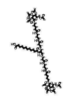 CC(=O)N[C@H]1[C@H](OCCCCC(=O)NCCCNC(=O)CCOCC(COCCC(=O)NCCCNC(=O)CCCCOC2O[C@H](COC(C)=O)[C@H](OC(C)=O)[C@H](OC(C)=O)[C@H]2NC(C)=O)NC(=O)CCCCCCCCCCC(=O)O)O[C@H](COC(C)=O)[C@H](OC(C)=O)[C@@H]1OC(C)=O